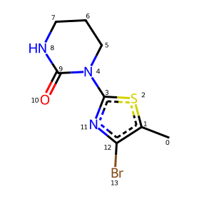 Cc1sc(N2CCCNC2=O)nc1Br